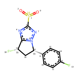 O=[SH](=O)c1nc2n(n1)[C@H](c1ccc(F)cc1)C[C@@H]2F